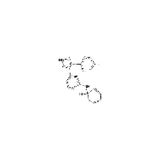 CCC1(Nc2cc(-c3c[nH]nc3-c3ccc(F)cc3)ccn2)C=CC=CC1